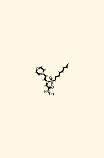 CCCCCCCCS(=O)(=O)N(CCN1CCOCC1)CC(=O)NO